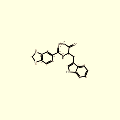 COC(=O)C(Cc1c[nH]c2ccccc12)NC(=S)c1ccc2c(c1)OCO2